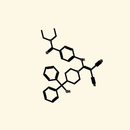 CCN(CC)C(=O)c1ccc(NC(=C(C#N)C#N)N2CCC(C(O)(c3ccccc3)c3ccccc3)CC2)cc1